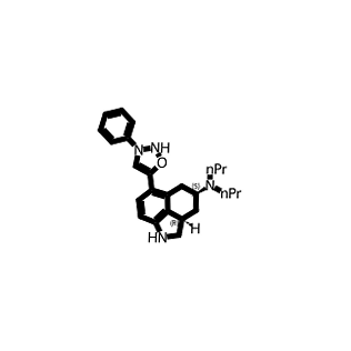 CCCN(CCC)[C@@H]1Cc2c(C3=CN(c4ccccc4)NO3)ccc3c2[C@H](CN3)C1